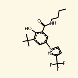 CCCCNC(=O)c1cc(-n2ccc(C(F)(F)F)n2)cc(C(C)(C)C)c1O